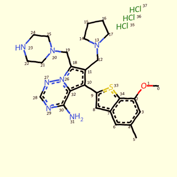 COc1cc(C)cc2cc(-c3c(CN4CCCC4)c(CN4CCNCC4)n4ncnc(N)c34)sc12.Cl.Cl.Cl